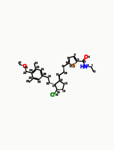 CCNC(=O)c1ccc(CCC[C@H]2CCC(Cl)[C@@H]2CCc2cc(C)c(COC)c(C)c2)s1